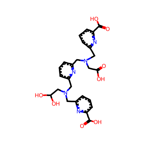 O=C(O)CN(Cc1cccc(CN(Cc2cccc(C(=O)O)n2)CC(O)O)n1)Cc1cccc(C(=O)O)n1